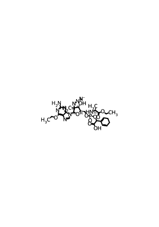 CCOC(=O)[C@H](C)NP(=O)(OC[C@H]1O[C@@H](n2cnc3c(OCC)nc(N)nc32)[C@](C)(N=[N+]=[N-])[C@@H]1O)OC(C(=O)O)C1=CCCC=C1